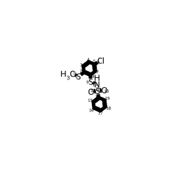 CSc1ccc(Cl)cc1SNS(=O)(=O)c1ccccc1